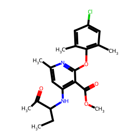 CCC(Nc1cc(C)nc(Oc2c(C)cc(Cl)cc2C)c1C(=O)OC)C(C)=O